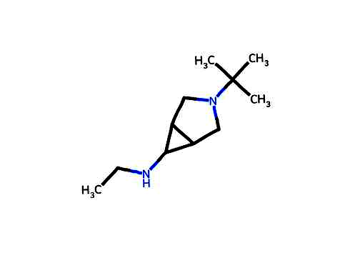 CCNC1C2CN(C(C)(C)C)CC21